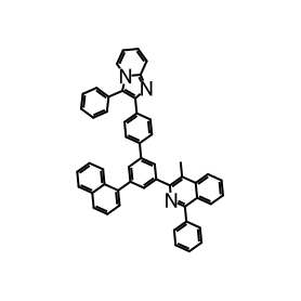 Cc1c(-c2cc(-c3ccc(-c4nc5ccccn5c4-c4ccccc4)cc3)cc(-c3cccc4ccccc34)c2)nc(-c2ccccc2)c2ccccc12